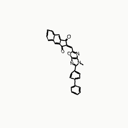 Cn1c(-c2ccc(-c3ccccc3)cc2)nc2oc(C=C3C(=O)c4cc5ccccc5cc4C3=O)nc21